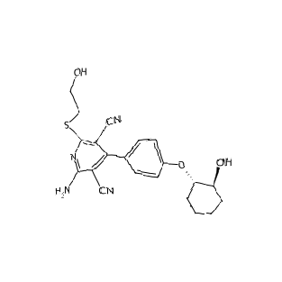 N#Cc1c(N)nc(SCCO)c(C#N)c1-c1ccc(O[C@H]2CCCC[C@@H]2O)cc1